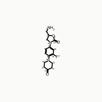 NCC1CN(c2ccc(N3CCC(=O)CC3)c(F)c2)C(=O)O1